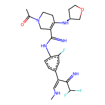 CN/C=C(\C(=N)C(F)F)c1ccc(NC(=N)C2=C(N[C@H]3CCOC3)CCN(C(C)=O)C2)c(F)c1